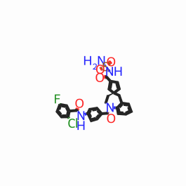 NS(=O)(=O)NC(=O)C1=C[C@@]2(C=C1)CCN(C(=O)c1ccc(NC(=O)c3cc(F)ccc3Cl)cc1)c1ccccc1C2